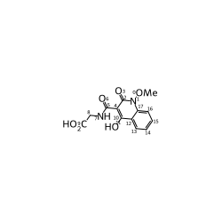 COn1c(=O)c(C(=O)NCC(=O)O)c(O)c2ccccc21